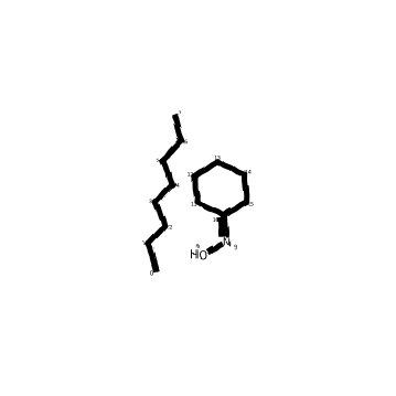 CCCCCCCC.ON=C1CCCCC1